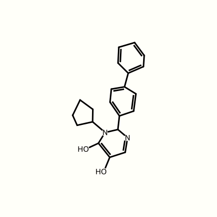 OC1=C(O)N(C2CCCC2)C(c2ccc(-c3ccccc3)cc2)N=C1